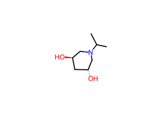 CC(C)N1C[C@H](O)C[C@@H](O)C1